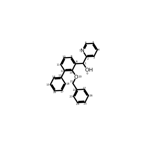 OC(c1ccccn1)c1cccc(-c2ccccc2)c1OCc1ccccc1